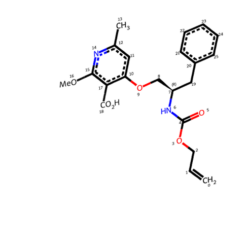 C=CCOC(=O)N[C@@H](COc1cc(C)nc(OC)c1C(=O)O)Cc1ccccc1